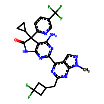 Cn1ncc2c(-c3nc(N)c4c(n3)NC(=O)C4(c3ccc(C(F)(F)F)cn3)C3CC3)nc(CC3CC(F)(F)C3)nc21